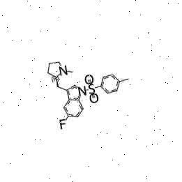 Cc1ccc(S(=O)(=O)n2cc(C[C@H]3CCCN3C)c3cc(F)ccc32)cc1